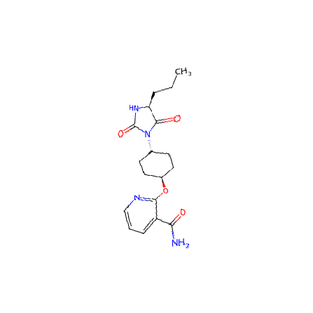 CCC[C@@H]1NC(=O)N([C@H]2CC[C@H](Oc3ncccc3C(N)=O)CC2)C1=O